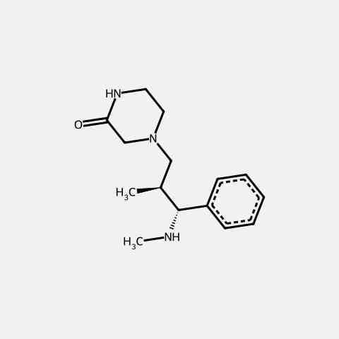 CN[C@@H](c1ccccc1)[C@@H](C)CN1CCNC(=O)C1